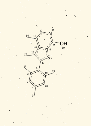 Cc1cc(C)c(-c2sc3c(O)ncc(C)c3c2C)c(C)c1